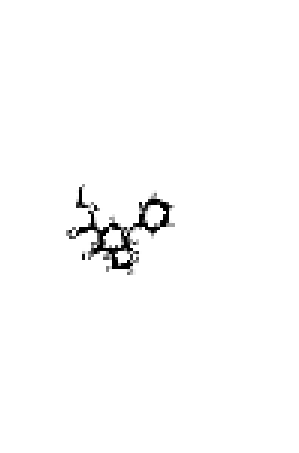 CCOC(=O)c1cn(-c2ccccn2)c2occc2c1=O